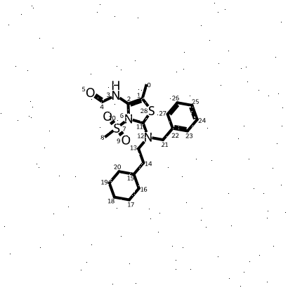 CC1=C(NC=O)N(S(C)(=O)=O)C(N(CCC2CCCCC2)Cc2ccccc2)S1